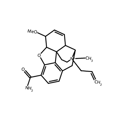 C=CC[N+]1(C)CCC23c4c5ccc(C(N)=O)c4OC2C(OC)C=CC3C1C5